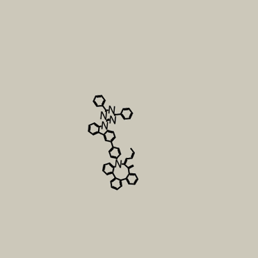 C=c1/c(=C\C=C/C)n(-c2ccc(-c3ccc4c(c3)c3ccccc3n4-c3nc(-c4ccccc4)nc(-c4ccccc4)n3)cc2)c2ccccc2c2ccccc2c2ccccc12